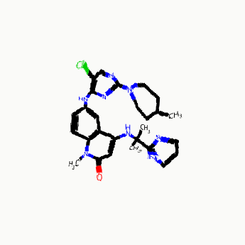 CC1CCN(c2ncc(Cl)c(Nc3ccc4c(c3)c(NC(C)(C)c3ncccn3)cc(=O)n4C)n2)CC1